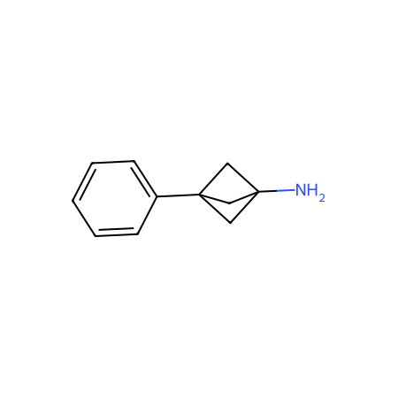 NC12CC(c3ccccc3)(C1)C2